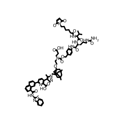 Cc1c(-c2ccc(-c3ccc4cccc(C(=O)Nc5nc6ccccc6s5)c4c3)nc2C(=O)O)cnn1CC12CC3(C)CC(C)(C1)CC(OCCN(CCC(=O)O)C(=O)OCc1ccc(NC(=O)[C@H](CCCNC(N)=O)NC(=O)C(NC(=O)CCCCCN4C(=O)C=CC4=O)C(C)C)cc1)(C3)C2